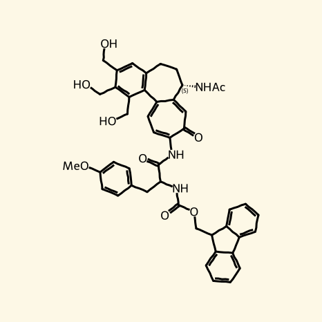 COc1ccc(CC(NC(=O)OCC2c3ccccc3-c3ccccc32)C(=O)Nc2ccc3c(cc2=O)[C@@H](NC(C)=O)CCc2cc(CO)c(CO)c(CO)c2-3)cc1